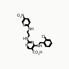 O=C(O)c1cnc(NCCNc2ccc([N+](=O)[O-])cn2)nc1NCc1ccccc1Cl